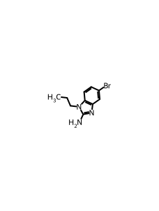 CCCn1c(N)nc2cc(Br)ccc21